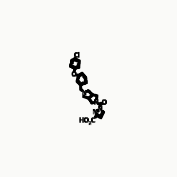 O=C(O)c1ccn(C(=O)N2CC3CN(Cc4cccc(Oc5ccc(Cl)cc5)c4)CC3C2)n1